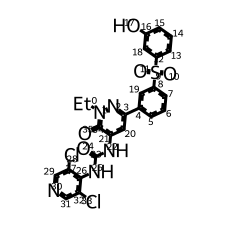 CCn1nc(-c2cccc(S(=O)(=O)c3cccc(O)c3)c2)cc(NC(=O)Nc2c(Cl)cncc2Cl)c1=O